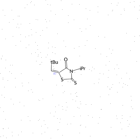 CC(C)N1C(=O)/C(=C\C(C)(C)C)SC1=S